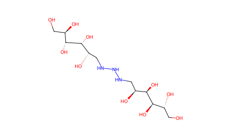 OC[C@@H](O)[C@@H](O)[C@H](O)[C@@H](O)CNNNC[C@H](O)[C@@H](O)[C@H](O)[C@H](O)CO